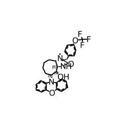 CN=S(=O)(N[C@@H]1CCCCC[C@@H](N2c3ccccc3Oc3ccccc32)[C@@H]1O)c1ccc(OC(F)(F)F)cc1